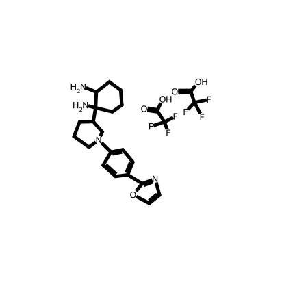 NC1CCCCC1(N)C1CCCN(c2ccc(-c3ncco3)cc2)C1.O=C(O)C(F)(F)F.O=C(O)C(F)(F)F